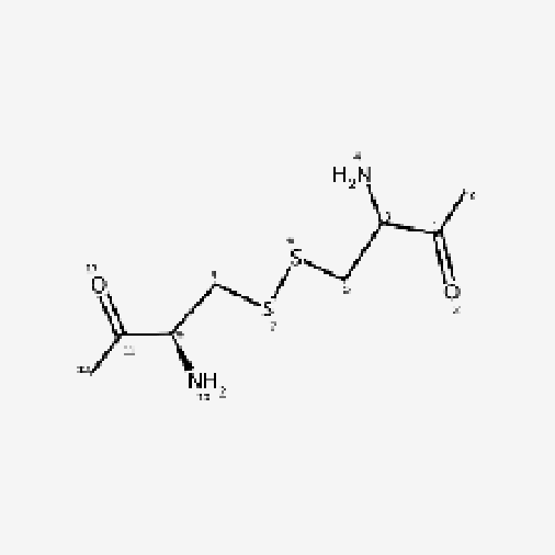 CC(=O)C(N)CSSC[C@@H](N)C(C)=O